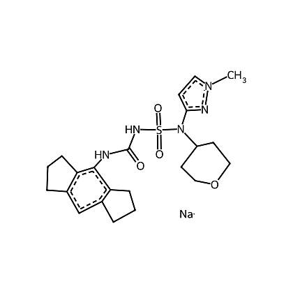 Cn1ccc(N(C2CCOCC2)S(=O)(=O)NC(=O)Nc2c3c(cc4c2CCC4)CCC3)n1.[Na]